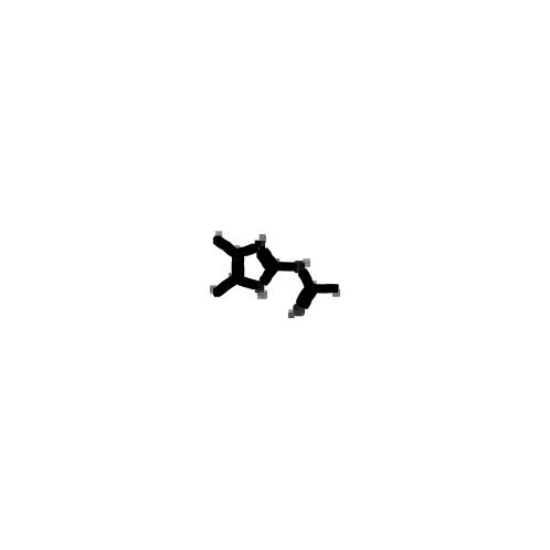 CC(=O)Oc1nc(C)c(C)s1